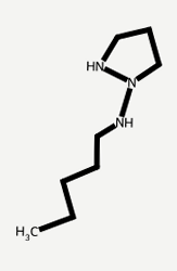 CCCCCNN1CCCN1